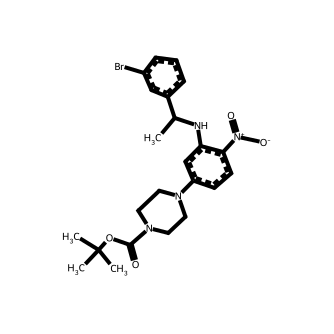 CC(Nc1cc(N2CCN(C(=O)OC(C)(C)C)CC2)ccc1[N+](=O)[O-])c1cccc(Br)c1